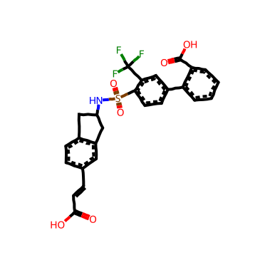 O=C(O)C=Cc1ccc2c(c1)CC(NS(=O)(=O)c1ccc(-c3ccccc3C(=O)O)cc1C(F)(F)F)C2